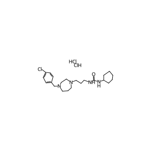 Cl.Cl.O=C(NCCCN1CCCN(Cc2ccc(Cl)cc2)CC1)NC1CCCCC1